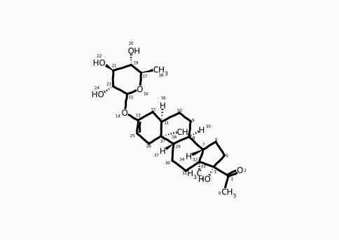 CC(=O)[C@]1(O)CC[C@H]2[C@@H]3CC[C@@H]4CC(OC5O[C@H](C)[C@@H](O)[C@H](O)[C@H]5O)=CC[C@]4(C)[C@H]3CC[C@@]21C